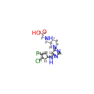 O=C(O)CNCC1CCCN(c2cc(Nc3ccc(F)c(Cl)c3)ncn2)C1